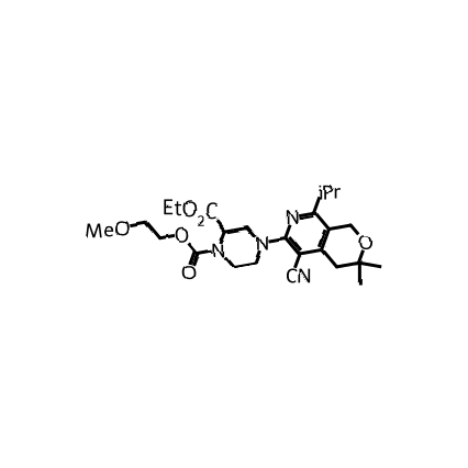 CCOC(=O)C1CN(c2nc(C(C)C)c3c(c2C#N)CC(C)(C)OC3)CCN1C(=O)OCCOC